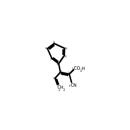 C=CC(=C(C#N)C(=O)O)c1ccccc1